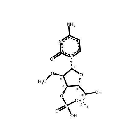 CO[C@@H]1[C@H](OP(=O)(O)O)[C@@H]([C@@H](C)O)O[C@H]1n1ccc(N)nc1=O